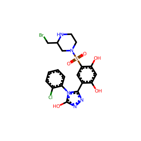 O=S(=O)(c1cc(-c2nnc(O)n2-c2ccccc2Cl)c(O)cc1O)N1CCNC(CBr)C1